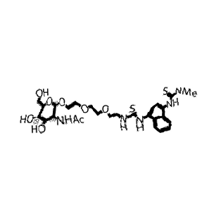 CNC(=S)Nc1ccc(NC(=S)NCCOCCOCCO[C@@H]2OC(CO)[C@@H](O)C(O)[C@@H]2NC(C)=O)c2ccccc12